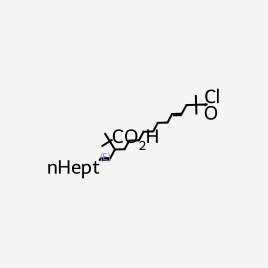 CCCCCCC/C=C/C(CCCCCCCC=CCC(C)(C)C(=O)Cl)C(C)(C)C(=O)O